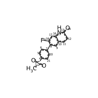 CS(=O)(=O)c1ccc(-c2cc3ccc(=O)[nH]c3cc2F)cc1